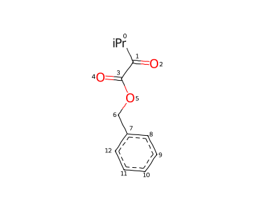 CC(C)C(=O)C(=O)OCc1ccccc1